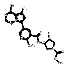 CCCOC(=O)N1C[C@H](F)[C@H](NC(=O)c2cc(-c3cc(C(F)(F)F)c4c(N)ncnn34)cnc2OC)C1